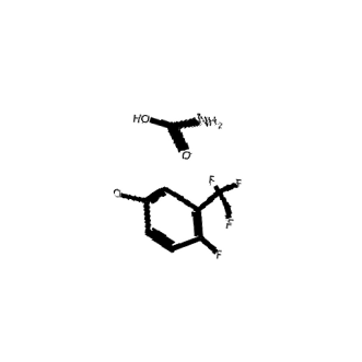 Fc1ccc(Cl)cc1C(F)(F)F.NC(=O)O